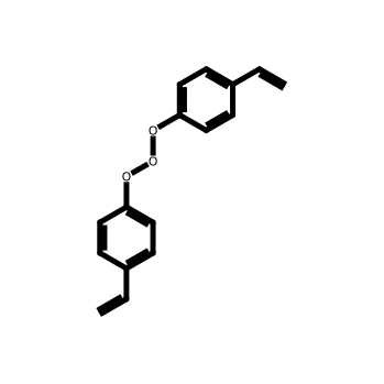 C=Cc1ccc(OOOc2ccc(C=C)cc2)cc1